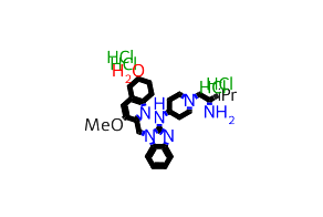 COc1cc2c(nc1Cn1c(NC3CCN(CC(N)C(C)C)CC3)nc3ccccc31)CCCC2.Cl.Cl.Cl.Cl.O